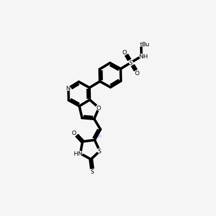 CC(C)(C)NS(=O)(=O)c1ccc(-c2cncc3cc(/C=C4/SC(=S)NC4=O)oc23)cc1